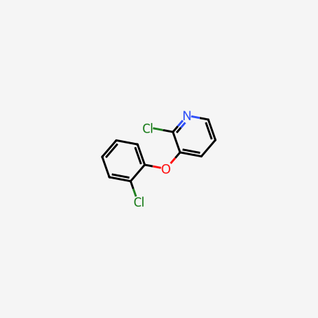 Clc1ccccc1Oc1cccnc1Cl